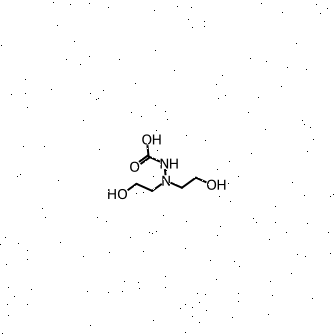 O=C(O)NN(CCO)CCO